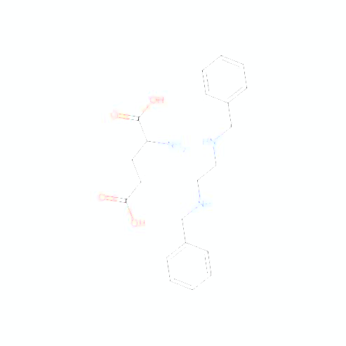 NC(CCC(=O)O)C(=O)O.c1ccc(CNCCNCc2ccccc2)cc1